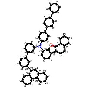 c1ccc(-c2ccc(-c3ccc(N(c4cccc(-c5cccc(-c6cc7ccccc7c7ccccc67)c5)c4)c4cccc5c4oc4c6ccccc6ccc54)cc3)cc2)cc1